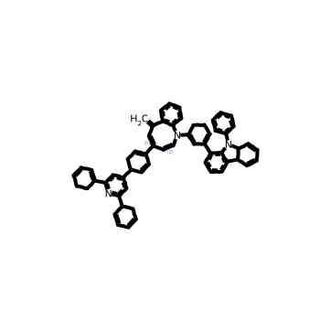 C=C1/C=C(C2=CCC(c3cc(C4=CC=CCC4)nc(C4C=CC=CC4)c3)C=C2)\C=C/N(C2=CC(c3cccc4c3N(c3ccccc3)C3C=CC=CC43)=CCC2)c2ccccc21